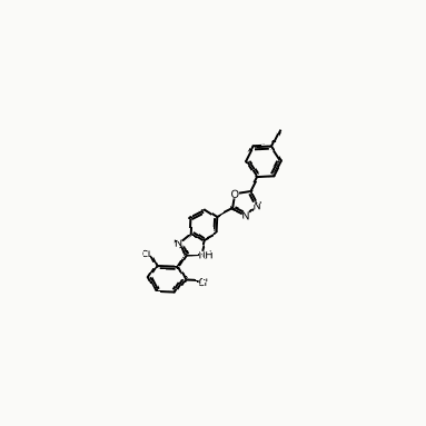 Cc1ccc(-c2nnc(-c3ccc4nc(-c5c(Cl)cccc5Cl)[nH]c4c3)o2)cc1